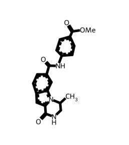 COC(=O)c1ccc(NC(=O)c2ccc3cc4n(c3c2)C(C)CNC4=O)cc1